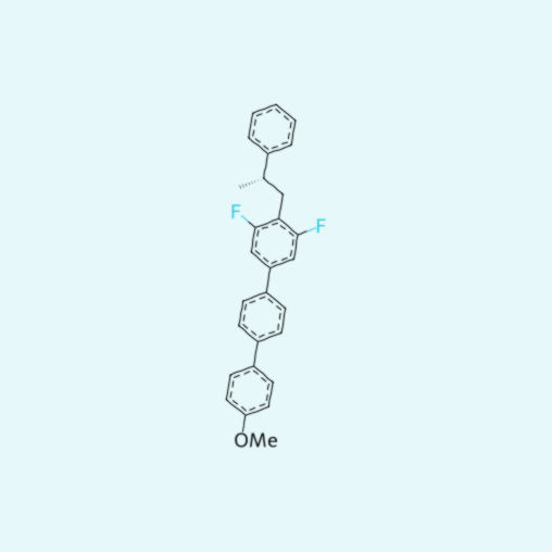 COc1ccc(-c2ccc(-c3cc(F)c(C[C@H](C)c4ccccc4)c(F)c3)cc2)cc1